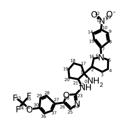 NC1(C2CCCN(c3ccc([N+](=O)[O-])cc3)C2)CCCCC1Nc1ncc(-c2ccc(OC(F)(F)F)cc2)o1